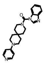 O=C(N1CCC2(CC1)CCN(c1ccncc1)CC2)n1cnc2ccccc21